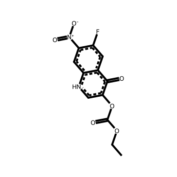 CCOC(=O)Oc1c[nH]c2cc([N+](=O)[O-])c(F)cc2c1=O